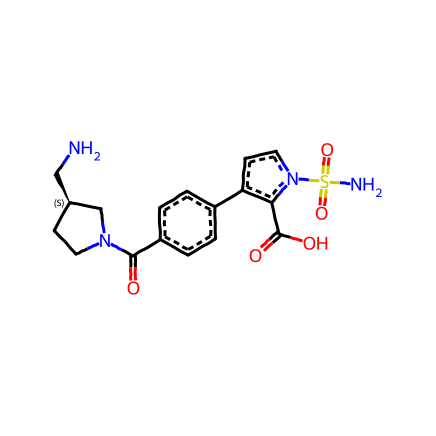 NC[C@@H]1CCN(C(=O)c2ccc(-c3ccn(S(N)(=O)=O)c3C(=O)O)cc2)C1